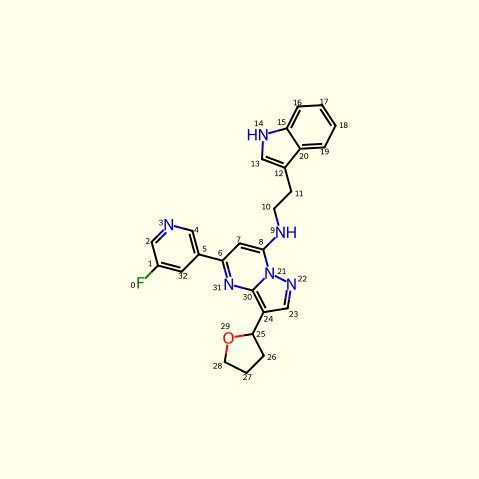 Fc1cncc(-c2cc(NCCc3c[nH]c4ccccc34)n3ncc(C4CCCO4)c3n2)c1